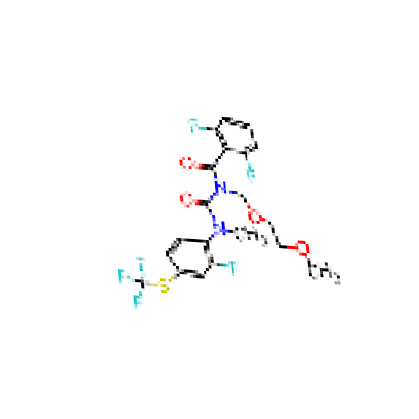 COCCOCN(C(=O)c1c(F)cccc1F)C(=O)N(C)c1ccc(SC(F)(F)F)cc1F